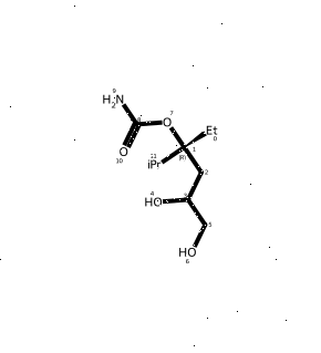 CC[C@](CC(O)CO)(OC(N)=O)C(C)C